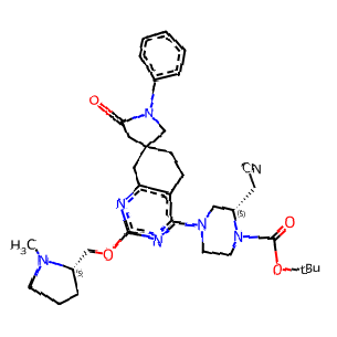 CN1CCC[C@H]1COc1nc2c(c(N3CCN(C(=O)OC(C)(C)C)[C@@H](CC#N)C3)n1)CCC1(CC(=O)N(c3ccccc3)C1)C2